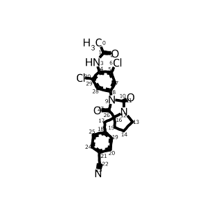 CC(=O)Nc1c(Cl)cc(N2C(=O)N3CCCC3(Cc3ccc(C#N)cc3)C2=O)cc1Cl